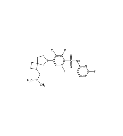 CN(C)CC1CCC12CCN(c1cc(F)c(S(=O)(=O)Nc3cccc(F)n3)c(F)c1Cl)C2